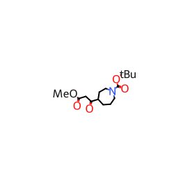 COC(=O)CC(=O)C1CCCN(C(=O)OC(C)(C)C)CC1